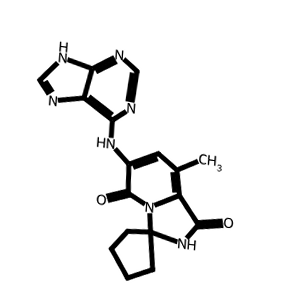 Cc1cc(Nc2ncnc3[nH]cnc23)c(=O)n2c1C(=O)NC21CCCC1